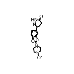 O=C1CCC(c2ccc3oc(N4CC[S+]([O-])CC4)nc3c2)=NN1